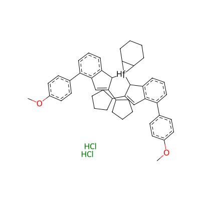 COc1ccc(-c2cccc3c2C=C(C2CCCC2)[CH]3[Hf]2([CH]3C(C4CCCC4)=Cc4c(-c5ccc(OC)cc5)cccc43)[CH]3CCCC[CH]32)cc1.Cl.Cl